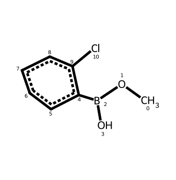 COB(O)c1ccccc1Cl